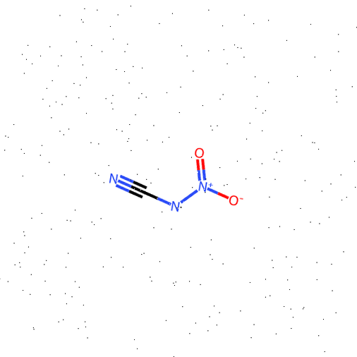 N#C[N][N+](=O)[O-]